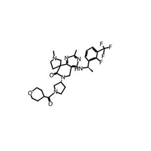 Cc1nc(N[C@H](C)c2cccc(C(F)(F)F)c2F)c2c(n1)C1(CCN(C)C1)C(=O)N([C@@H]1CCN(C(=O)C3CCOCC3)C1)C2